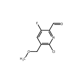 COCc1cc(F)c(C=O)nc1Cl